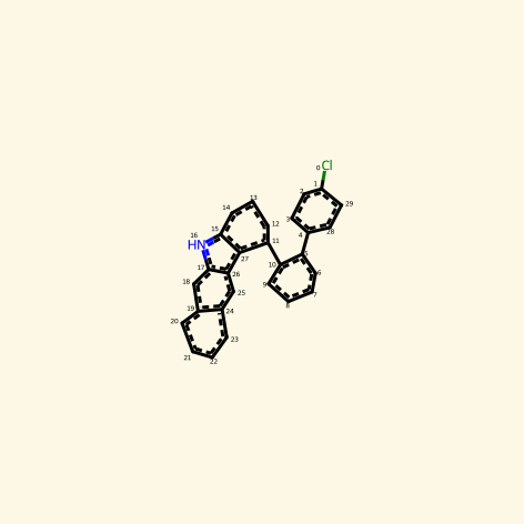 Clc1ccc(-c2ccccc2-c2cccc3[nH]c4cc5ccccc5cc4c23)cc1